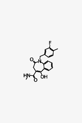 CNC(=O)C1=C(O)c2ccccc2N(Cc2ccc(C)c(F)c2)C(=O)C1